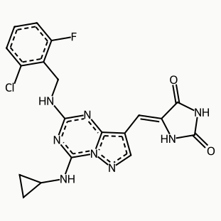 O=C1NC(=O)/C(=C/c2cnn3c(NC4CC4)nc(NCc4c(F)cccc4Cl)nc23)N1